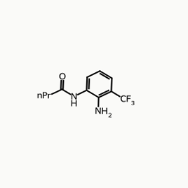 CCCC(=O)Nc1cccc(C(F)(F)F)c1N